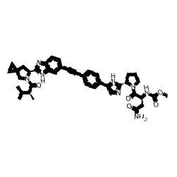 COC(=O)N[C@@H](CC(N)=O)C(=O)N1CCC[C@H]1c1ncc(-c2ccc(C#Cc3ccc4nc([C@@H]5CC6(CC6)CN5C(=O)[C@@H](C)C(C)C)[nH]c4c3)cc2)[nH]1